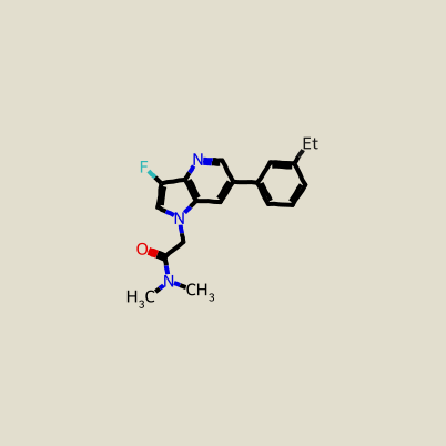 CCc1cccc(-c2cnc3c(F)cn(CC(=O)N(C)C)c3c2)c1